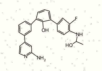 CC(O)Nc1ccc(-c2cccc(-c3cccc(-c4ccnc(N)c4)c3)c2O)cc1F